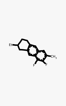 CCC1CCc2cc3cc(C)c(F)c(F)c3cc2C1